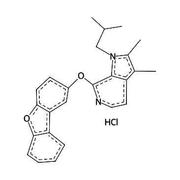 Cc1c(C)n(CC(C)C)c2c(Oc3ccc4oc5ccccc5c4c3)nccc12.Cl